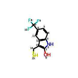 Oc1[nH]c2ccc(C(F)(F)F)cc2c1CS